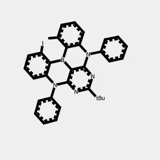 Cc1cccc2c1B1c3c(I)cccc3N(c3ccccc3)c3nc(C(C)(C)C)nc(c31)N2c1ccccc1